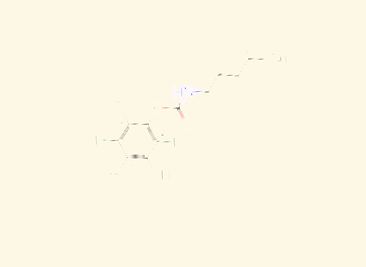 Cc1c(F)c(F)c(F)c(OC(=O)NCCCCC(C)(C)C)c1F